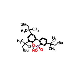 CC(C)(C)CC(C)(C)c1cc2c(c(C(C)(C)CC(C)(C)C)c1)OP(=O)(O)c1cc(C(C)(C)CC(C)(C)C)ccc1-2